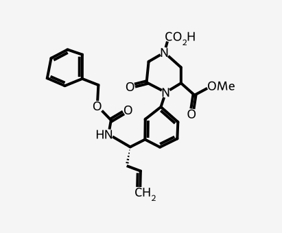 C=CC[C@H](NC(=O)OCc1ccccc1)c1cccc(N2C(=O)CN(C(=O)O)CC2C(=O)OC)c1